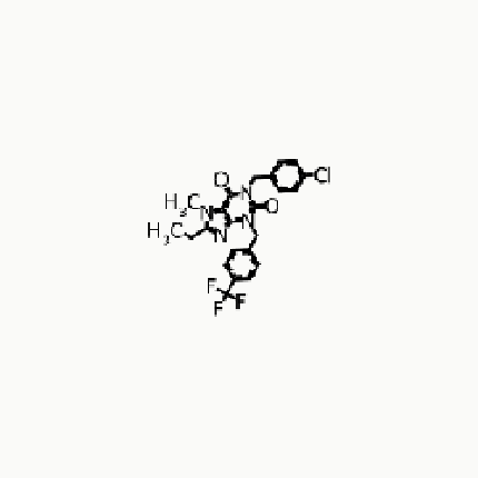 CCc1nc2c(c(=O)n(Cc3ccc(Cl)cc3)c(=O)n2Cc2ccc(C(F)(F)F)cc2)n1C